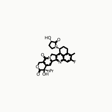 CCC[C@@]1(O)C(=O)OCc2c1cc1n(c2=O)Cc2c-1nc1cc(F)c(C)c3c1c2[C@@H](N1CC[C@H](O)C1=O)CC3